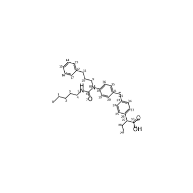 CCCCCNC(=O)N(CCCc1ccccc1)c1ccc(Sc2ccc(C(CC)C(=O)O)cc2)cc1